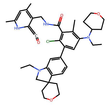 CCN1CC2(CCOCC2)c2ccc(-c3cc(N(CC)C4CCOCC4)c(C)c(C(=O)NCC4=C(C)C=C(C)NC4=C=O)c3Cl)cc21